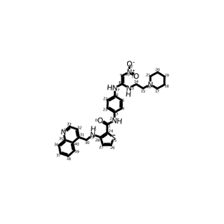 O=C(Nc1ccc(NC(=C[N+](=O)[O-])NCCN2CCCCC2)cc1)c1sccc1NCc1ccnc2ccccc12